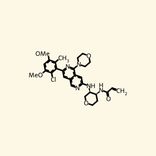 C=CC(=O)N[C@H]1CCOC[C@H]1Nc1cc2c(N3CCOCC3)nc(-c3c(C)c(OC)cc(OC)c3Cl)cc2cn1